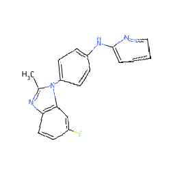 Cc1nc2ccc(F)cc2n1-c1ccc(Nc2ccccn2)cc1